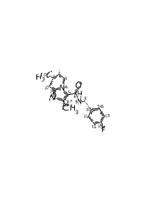 Cc1ccn2c(C(=O)NCc3ccc(F)cc3)c(C)nc2c1